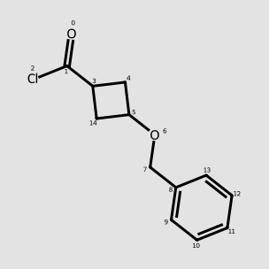 O=C(Cl)C1CC(OCc2ccccc2)C1